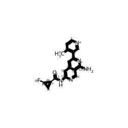 Cc1ccncc1-c1cc2cc(NC(=O)[C@H]3C[C@H]3F)ncc2c(N)n1